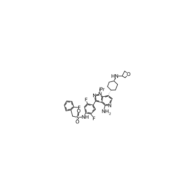 CC(C)n1nc(-c2cc(F)c(NS(=O)(=O)Cc3ccccc3F)cc2F)c2c(N)ncc([C@H]3CC[C@H](NC4COC4)CC3)c21